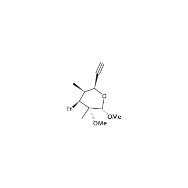 C#C[C@H]1O[C@H](OC)[C@](C)(OC)[C@@H](CC)[C@H]1C